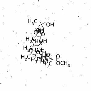 C=C(C)C(=O)O.C=C(C)C(=O)O.C=C(C)C(=O)O.C=C(C)C(=O)O.C=C(C)C(=O)OC.CCC(CO)(CO)CO